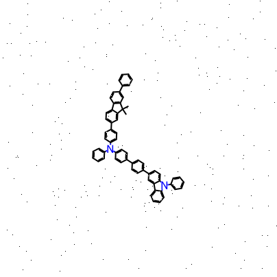 CC1(C)c2cc(-c3ccccc3)ccc2-c2ccc(-c3ccc(N(c4ccccc4)c4ccc(-c5ccc(-c6ccc7c(c6)c6ccccc6n7-c6ccccc6)cc5)cc4)cc3)cc21